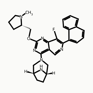 CN1CCC[C@H]1COc1nc(N2C[C@H]3CC[C@@H](C2)N3)c2cnc(-c3cccc4ccccc34)c(F)c2n1